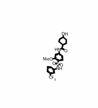 COc1cc(NC(=O)C2CCC(O)CC2)ccc1S(=O)(=O)Nc1cccc(C(F)(F)F)c1